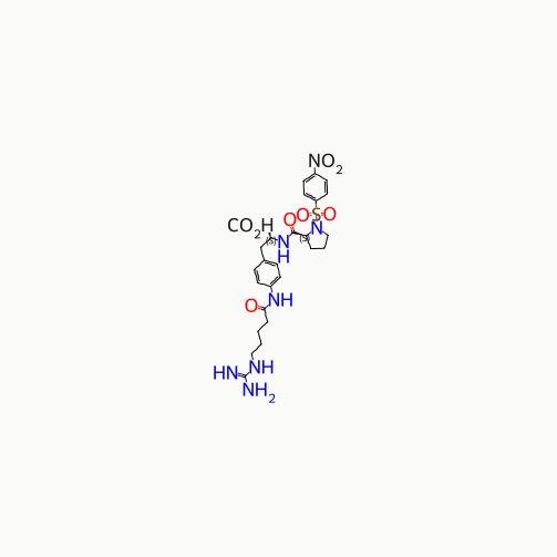 N=C(N)NCCCCC(=O)Nc1ccc(C[C@H](NC(=O)[C@@H]2CCCN2S(=O)(=O)c2ccc([N+](=O)[O-])cc2)C(=O)O)cc1